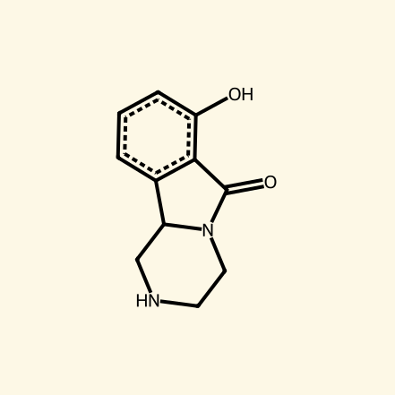 O=C1c2c(O)cccc2C2CNCCN12